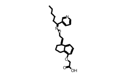 CCCCCC(=NOCC=C1CCCc2c(OCC(=O)O)cccc21)c1cccnc1